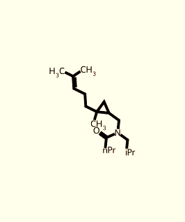 CCCC(=O)N(CC(C)C)CC1CC1(C)CCC=C(C)C